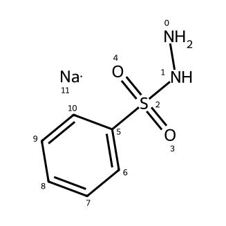 NNS(=O)(=O)c1ccccc1.[Na]